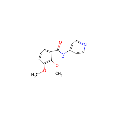 COc1cccc(C(=O)Nc2ccncc2)c1OC